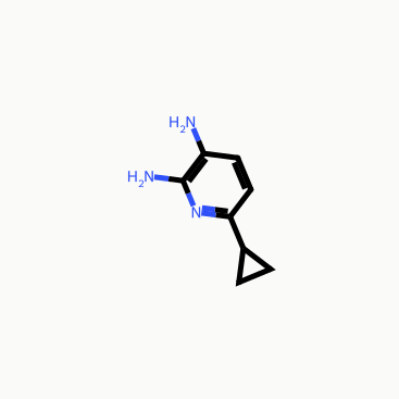 Nc1ccc(C2CC2)nc1N